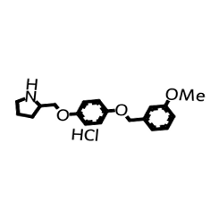 COc1cccc(COc2ccc(OCC3CCCN3)cc2)c1.Cl